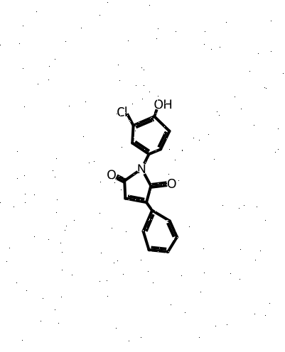 O=C1C=C(c2ccccc2)C(=O)N1c1ccc(O)c(Cl)c1